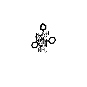 NC(=O)C1(N[N+]2(C(=O)NC3CCCCC3)N=CN=C2Nc2ccccc2)CCCCC1